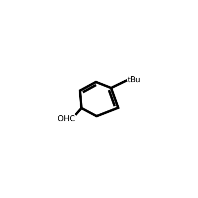 CC(C)(C)C1=CCC(C=O)C=C1